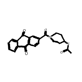 CC(=O)SC1CCN(C(=O)c2ccc3c(c2)C(=O)c2ccccc2C3=O)CC1